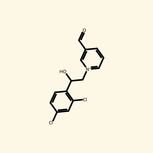 O=Cc1ccc[n+](CC(O)c2ccc(Cl)cc2Cl)c1